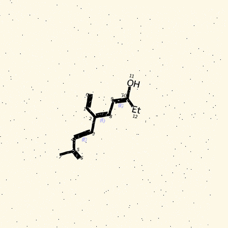 C=CC(/C=C/C(=C)C)=C\C=C(\O)CC